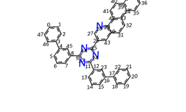 c1ccc(-c2cccc(-c3nc(-c4cccc(-c5ccccc5)c4)nc(-c4cnc5c(ccc6c7ccccc7ccc65)c4)n3)c2)cc1